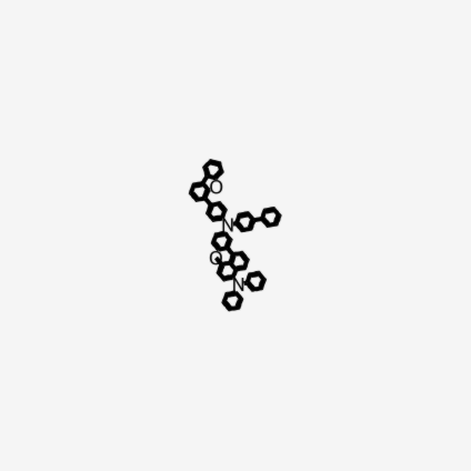 c1ccc(-c2ccc(N(c3ccc(-c4cccc5c4oc4ccccc45)cc3)c3ccc4c(c3)-c3cccc5c(N(c6ccccc6)c6ccccc6)ccc(c35)O4)cc2)cc1